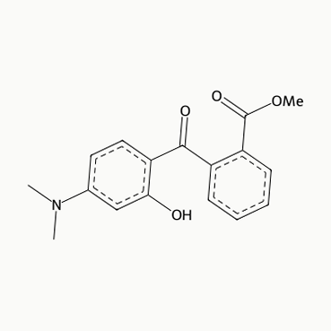 COC(=O)c1ccccc1C(=O)c1ccc(N(C)C)cc1O